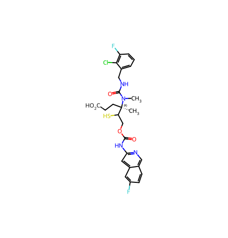 CN(C(=O)NCc1cccc(F)c1Cl)[C@](C)(CCC(=O)O)C(S)COC(=O)Nc1cc2cc(F)ccc2cn1